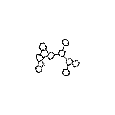 c1ccc(-c2cc(-c3ccc4c(c3)c3ccccc3c3ccc5c6ccccc6oc5c34)cc(-c3nc(-c4ccccc4)c4ccccc4n3)c2)cc1